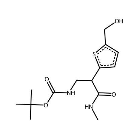 CNC(=O)C(CNC(=O)OC(C)(C)C)c1ccc(CO)s1